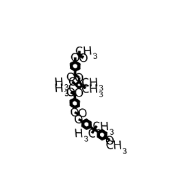 COc1ccc(C(C)(C)c2ccc(OC(=O)Oc3ccc(C(=O)OC4C(C)(C)C(OC(=O)c5ccc(OC(C)=O)cc5)C4(C)C)cc3)cc2)cc1